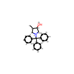 CC1CN(C(c2ccccc2)(c2ccccc2)c2ccccc2)CC1O